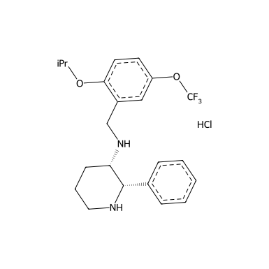 CC(C)Oc1ccc(OC(F)(F)F)cc1CN[C@H]1CCCN[C@H]1c1ccccc1.Cl